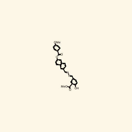 COC(=O)c1cc(/C=N/N=C/c2ccc3cc(OC(=O)c4ccc(OC)cc4)ccc3c2)ccc1O